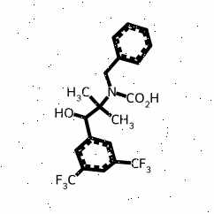 CC(C)(C(O)c1cc(C(F)(F)F)cc(C(F)(F)F)c1)N(Cc1ccccc1)C(=O)O